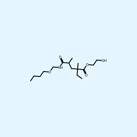 CCCCOCNC(=O)C(C)CC(C)(CC)C(=O)OCCO